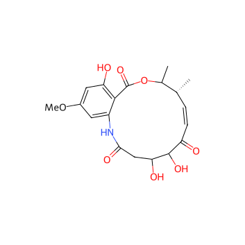 COc1cc(O)c2c(c1)NC(=O)CC(O)C(O)C(=O)/C=C\[C@@H](C)C(C)OC2=O